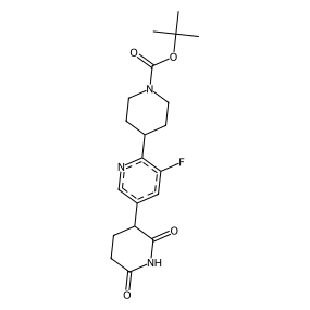 CC(C)(C)OC(=O)N1CCC(c2ncc(C3CCC(=O)NC3=O)cc2F)CC1